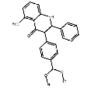 CCOC(OCC)c1ccc(C2C(=O)c3c(cccc3OC(C)=O)NC2c2ccccc2)cc1